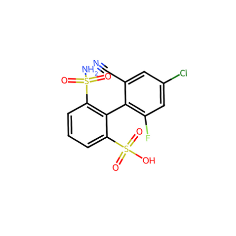 N#Cc1cc(Cl)cc(F)c1-c1c(S(N)(=O)=O)cccc1S(=O)(=O)O